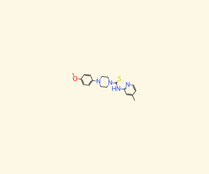 COc1ccc(N2CCN(C(=S)Nc3cc(C)ccn3)CC2)cc1